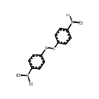 CCN(CC)c1ccc(SSc2ccc(N(CC)CC)cc2)cc1